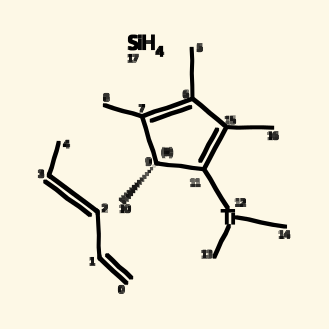 C=CC=CC.CC1=C(C)[C@@H](C)[C]([Ti]([CH3])[CH3])=C1C.[SiH4]